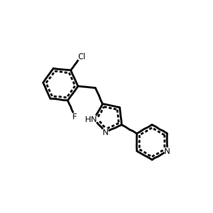 Fc1cccc(Cl)c1Cc1cc(-c2ccncc2)n[nH]1